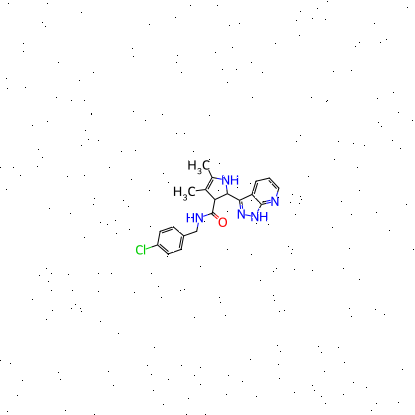 CC1=C(C)C(C(=O)NCc2ccc(Cl)cc2)C(c2n[nH]c3ncccc23)N1